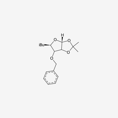 CCC(C)[C@H]1O[C@@H]2OC(C)(C)OC2C1OCc1ccccc1